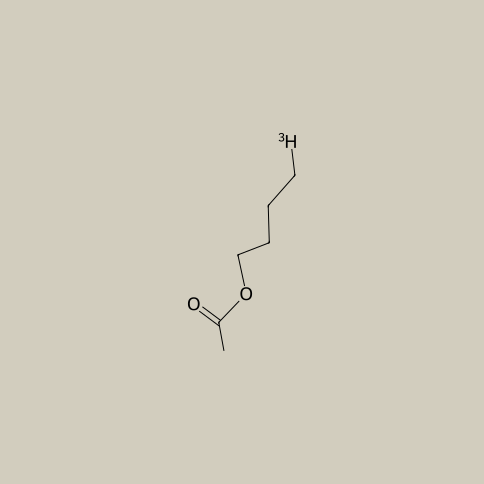 [3H]CCCCOC(C)=O